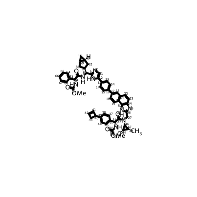 COC(=O)N[C@@H](C(=O)NC(c1ncc(-c2ccc(-c3ccc4c(ccc5nc(CN(C(=O)[C@H](NC(=O)OC)c6ccc(C7C=CC7)cc6)[C@@H]6[C@H](C)[C@@H]6C)[nH]c54)c3)cc2)[nH]1)[C@H]1CC2C[C@H]2C1)c1ccccc1